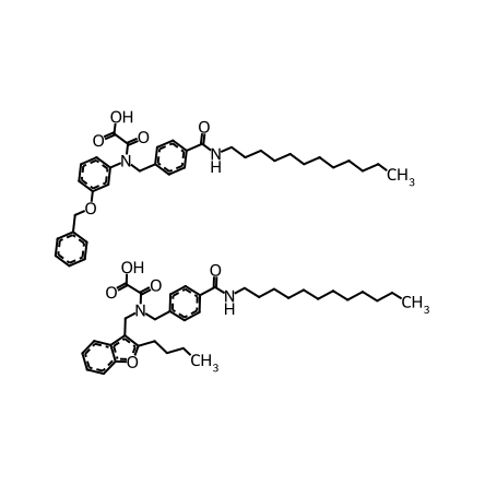 CCCCCCCCCCCCNC(=O)c1ccc(CN(C(=O)C(=O)O)c2cccc(OCc3ccccc3)c2)cc1.CCCCCCCCCCCCNC(=O)c1ccc(CN(Cc2c(CCCC)oc3ccccc23)C(=O)C(=O)O)cc1